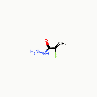 C=C(F)C(=O)NN